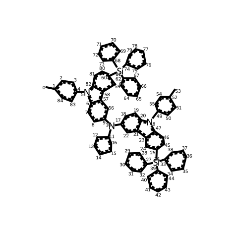 Cc1ccc(-n2c3ccc(N(c4ccccc4)c4ccc5c(c4)c4cc([Si](c6ccccc6)(c6ccccc6)c6ccccc6)ccc4n5-c4ccc(C)cc4)cc3c3cc([Si](c4ccccc4)(c4ccccc4)c4ccccc4)ccc32)cc1